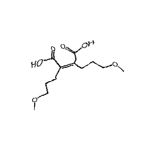 COCCC/C(C(=O)O)=C(\CCCOC)C(=O)O